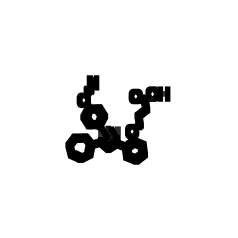 N#COc1ccc(-n2nc(-c3ccccc3OCCCC(=O)O)cc2C2=CC=CCC=C2)cc1